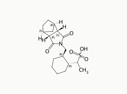 CC([C@@H]1CCCC[C@H]1CN1C(=O)[C@@H]2[C@H]3CC[C@H](C3)[C@@H]2C1=O)S(=O)(=O)O